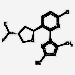 Cc1cc(C#N)nn1-c1nc(Cl)ccc1[C@@H]1C[C@@H](C(F)F)CO1